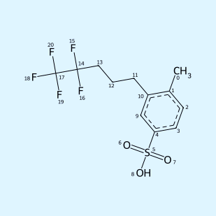 Cc1ccc(S(=O)(=O)O)cc1CCCC(F)(F)C(F)(F)F